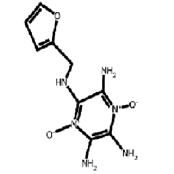 Nc1c(N)[n+]([O-])c(NCc2ccco2)c(N)[n+]1[O-]